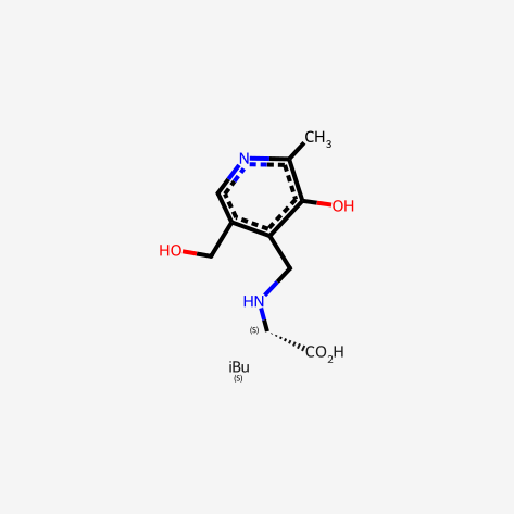 CC[C@H](C)[C@H](NCc1c(CO)cnc(C)c1O)C(=O)O